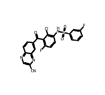 N#Cc1cnc2ccc(C(=O)c3c(F)ccc(NS(=O)(=O)c4cccc(F)c4)c3Cl)cc2n1